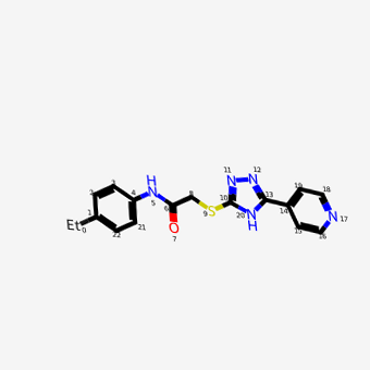 CCc1ccc(NC(=O)CSc2nnc(-c3ccncc3)[nH]2)cc1